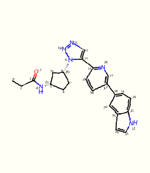 CCC(=O)N[C@H]1CC[C@@H](n2nncc2-c2ccc(-c3ccc4[nH]ccc4c3)cn2)C1